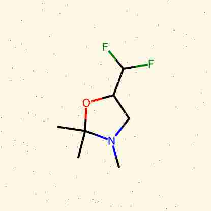 CN1CC(C(F)F)OC1(C)C